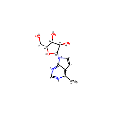 CNc1ncnc2c1ccn2[C@@H]1O[C@H](CO)[C@@H](O)[C@H]1O